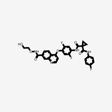 O=C(NOCCO)c1ccc2c(Oc3cc(F)c(NC(=O)C4(C(=O)Nc5ccc(F)cc5)CC4)cc3F)ccnc2c1